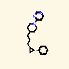 c1ccc([C@@H]2C[C@H]2CCCC2CCN(c3ccncn3)CC2)cc1